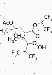 CC(=O)OC(C)(C)CC(C(=O)OC(C(F)(F)F)C(F)(F)F)C(C)C(OO)C(C(F)(F)F)C(F)(F)F